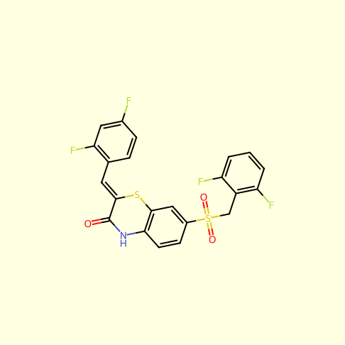 O=C1Nc2ccc(S(=O)(=O)Cc3c(F)cccc3F)cc2SC1=Cc1ccc(F)cc1F